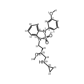 COc1cccc(N2c3ccccc3N(CC[C@@H](CNC3CC3)OC)S2(=O)=O)c1